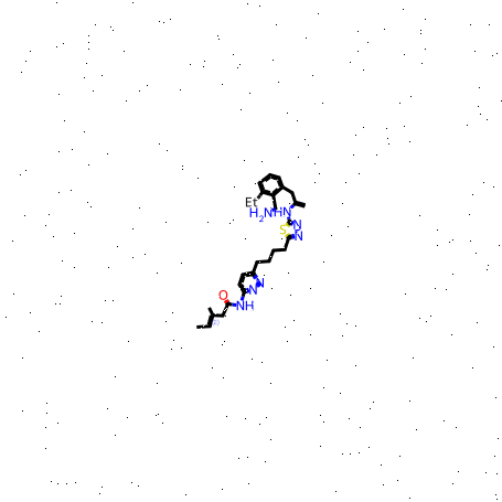 C=C(Cc1cccc(CC)c1CN)Nc1nnc(CCCCc2ccc(NC(=O)C/C(C)=C/C)nn2)s1